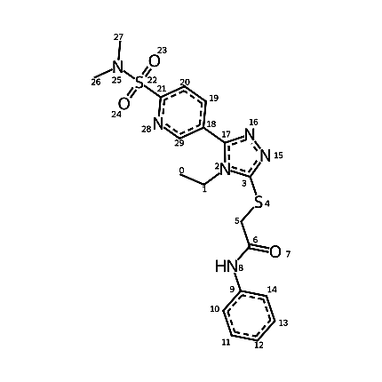 CCn1c(SCC(=O)Nc2ccccc2)nnc1-c1ccc(S(=O)(=O)N(C)C)nc1